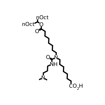 CCCCCCCCC(CCCCCCCC)OC(=O)CCCCCCCN(CCCCCCCC(=O)O)C(=O)NCCCN(C)C